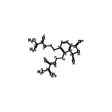 C=C(C)C(=O)OCCc1ccc2c(c1CCOC(=O)C(=C)C)C(=O)OC2=O